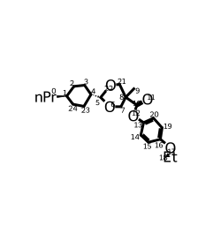 CCC[C@H]1CC[C@H](C2OCC(C)(C(=O)Oc3ccc(OCC)cc3)CO2)CC1